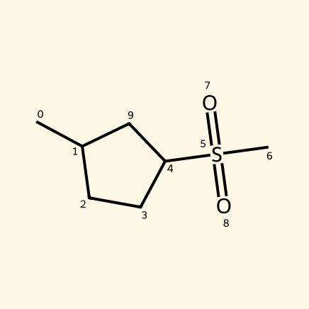 CC1CCC(S(C)(=O)=O)C1